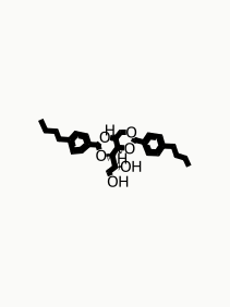 CCCCc1ccc(C2OC[C@@H]3OC(c4ccc(CCCC)cc4)O[C@H]([C@H](O)CO)[C@@H]3O2)cc1